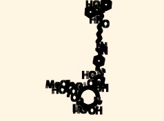 CC[C@H]1OC(=O)[C@H](C)[C@@H](O[C@H]2C[C@@](C)(OC)[C@@H](O)[C@H](C)O2)[C@H](C)[C@@H](O[C@@H]2O[C@H](C)C[C@H](N(C)Cc3ccc(-c4cn(CCCCCC(=O)NCC(C)(C)[Si](O)(c5ccccc5)c5ccccc5)nn4)cc3)[C@H]2O)[C@](C)(O)CCN(C)[C@H](C)[C@@H](O)[C@]1(C)O